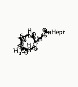 CCCCCCCC(=O)SCC/C=C/[C@@H]1CC(=O)NCc2nc(cs2)C2=N[C@@](C)(CS2)C(=O)NCC(=O)O1